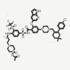 CC(=O)N=S1(=O)CCN(CC[C@H](C)Nc2ccc(S(=O)(=O)NC(=O)c3ccc(N4CCN(CC5=C(c6ccc(Cl)cc6)CC(C)(C)CC5)CC4)cc3Oc3cnc4[nH]ccc4c3)cc2S(=O)(=O)C(F)(F)F)CC1